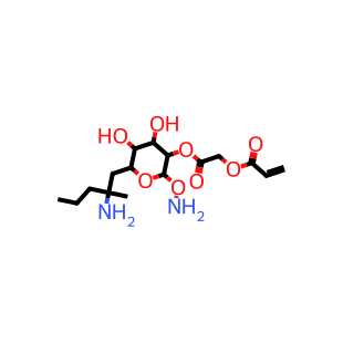 C=CC(=O)OCC(=O)OC1C(ON)OC(CC(C)(N)CCC)C(O)C1O